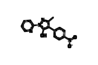 Cc1nn(-c2ccccn2)c(O)c1-c1ccc([N+](=O)[O-])cc1